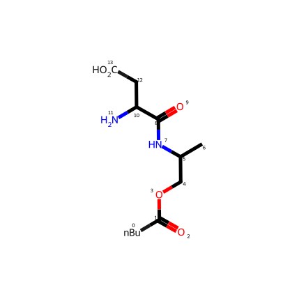 CCCCC(=O)OCC(C)NC(=O)C(N)CC(=O)O